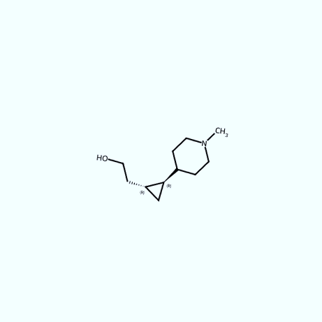 CN1CCC([C@H]2C[C@@H]2CCO)CC1